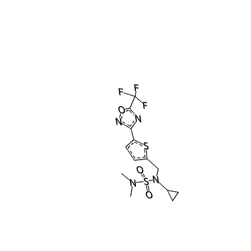 CN(C)S(=O)(=O)N(Cc1ccc(-c2noc(C(F)(F)F)n2)s1)C1CC1